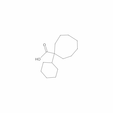 O=C(O)C1(C2CCCCC2)CCCCCCC1